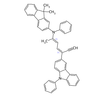 C#C/C(=C\C=C(/C)N(c1ccccc1)c1ccc2c(c1)C(C)(C)c1ccccc1-2)c1ccc2c(c1)c1ccccc1n2-c1ccccc1